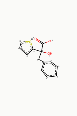 [O]C(=O)C(O)(Cc1ccccc1)c1cccs1